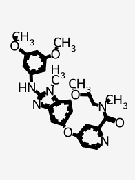 COCCN(C)C(=O)c1cc(Oc2ccc3c(c2)nc(Nc2cc(OC)cc(OC)c2)n3C)ccn1